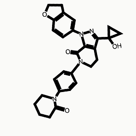 O=C1CCCCN1c1ccc(N2CCc3c(C4(O)CC4)nn(-c4ccc5c(c4)CCO5)c3C2=O)cc1